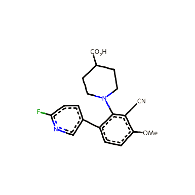 COc1ccc(-c2ccc(F)nc2)c(N2CCC(C(=O)O)CC2)c1C#N